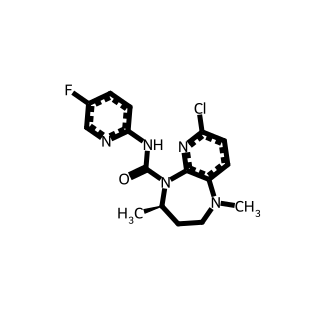 C[C@@H]1CCN(C)c2ccc(Cl)nc2N1C(=O)Nc1ccc(F)cn1